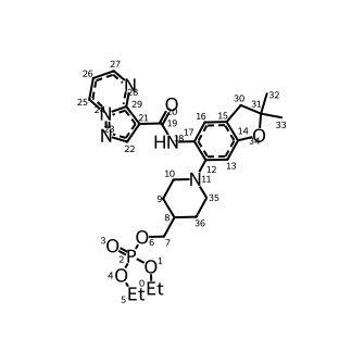 CCOP(=O)(OCC)OCC1CCN(c2cc3c(cc2NC(=O)c2cnn4cccnc24)CC(C)(C)O3)CC1